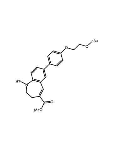 CCCCOCCOc1ccc(-c2ccc3c(c2)C=C(C(=O)OC)CCN3C(C)C)cc1